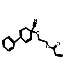 C=CC(=O)OCCOC1(C#N)C=CC(c2ccccc2)=CC1